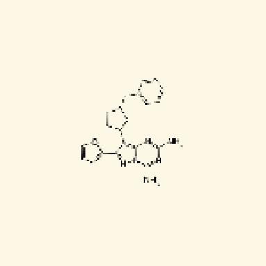 Nc1nc(N)n2nc(-c3ccco3)c(C3CCN(Cc4ccccc4)C3)c2n1